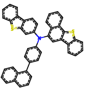 c1ccc2c(-c3ccc(N(c4ccc5c(c4)sc4ccccc45)c4cc5c6ccccc6sc5c5ccccc45)cc3)cccc2c1